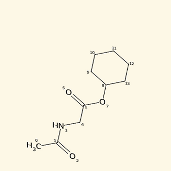 CC(=O)NCC(=O)OC1CCCCC1